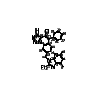 CCc1nc2c(C)cc(C)nc2n1Cc1ccc(/C(=C(/Cl)c2nnn[nH]2)c2ccccc2)cc1